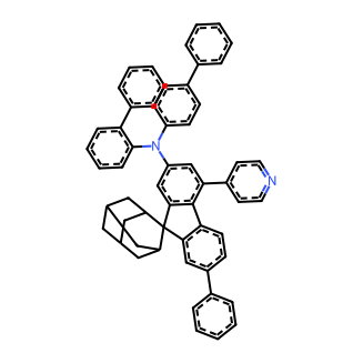 c1ccc(-c2ccc(N(c3cc(-c4ccncc4)c4c(c3)C3(c5cc(-c6ccccc6)ccc5-4)C4CC5CC(C4)CC3C5)c3ccccc3-c3ccccc3)cc2)cc1